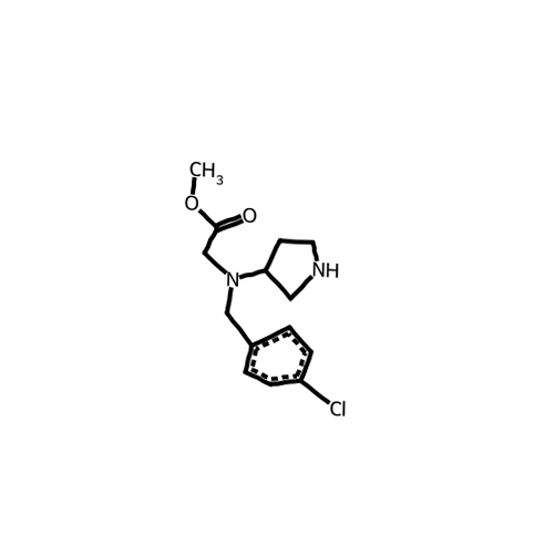 COC(=O)CN(Cc1ccc(Cl)cc1)C1CCNC1